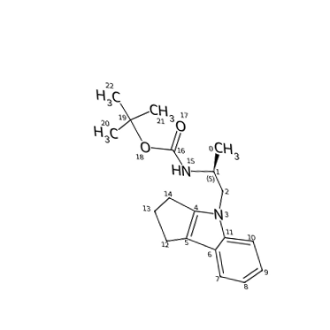 C[C@@H](Cn1c2c(c3ccccc31)CCC2)NC(=O)OC(C)(C)C